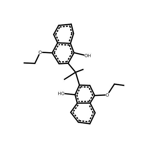 CCOc1cc(C(C)(C)c2cc(OCC)c3ccccc3c2O)c(O)c2ccccc12